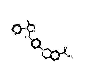 CC1=CSC(Nc2ccc(N3CCc4ccc(C(N)=O)cc4C3)cc2)N1c1cccnc1